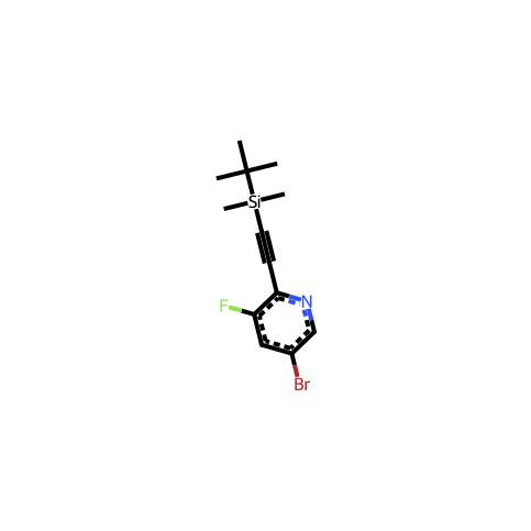 CC(C)(C)[Si](C)(C)C#Cc1ncc(Br)cc1F